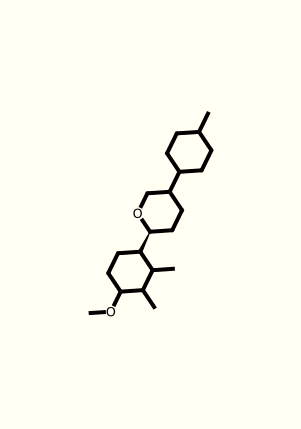 COC1CCC([C@@H]2CCC(C3CCC(C)CC3)CO2)C(C)C1C